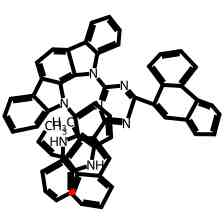 C/C=C\c1c(C)c(-c2nc(-c3cc4ccccc4c4ccccc34)nc(-n3c4ccccc4c4ccc5c6ccccc6n(-c6cccc7c6Nc6ccccc6N7)c5c43)n2)cc2ccccc12